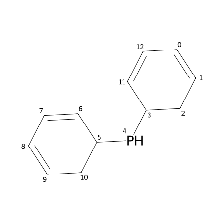 C1=CCC(PC2C=CC=CC2)C=C1